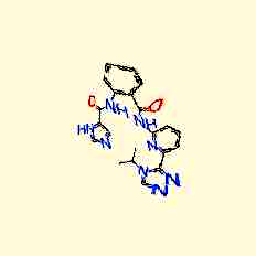 CC(C)n1cnnc1-c1cccc(NC(=O)c2ccccc2NC(=O)c2cnc[nH]2)n1